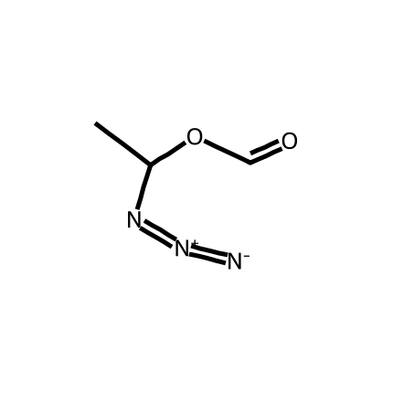 CC(N=[N+]=[N-])OC=O